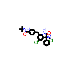 CN(C)C1(c2ccccc2Cl)C(=O)Nc2c(Cc3ccc(C(=O)NC(C)(C)C)cc3)cc(Cl)cc21